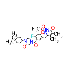 Cc1c(C)c(=O)[nH][n+](OC(=O)C(F)(F)F)c1Cc1ccc(F)c(C(=O)N2CCN(C3CCC(C)(C)CC3)C(=O)C2)c1